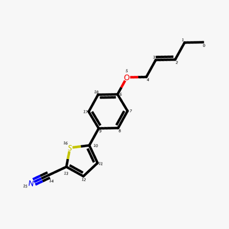 CC/C=C/COc1ccc(-c2ccc(C#N)s2)cc1